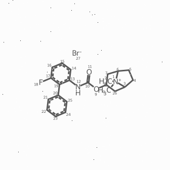 C[N+]1(C)C2CCC1CC(OC(=O)Nc1cccc(F)c1-c1ccccc1)C2.[Br-]